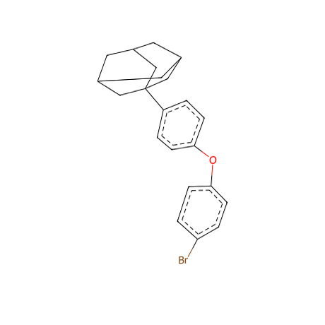 Brc1ccc(Oc2ccc(C34CC5CC(CC(C5)C3)C4)cc2)cc1